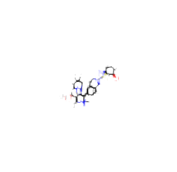 Cc1nc(C)c(C(OC(C)(C)C)C(=O)O)c(N2CCC(C)(C)CC2)c1-c1ccc2c(c1)CCN(c1nc3c(s1)C(=O)CCC3)C2